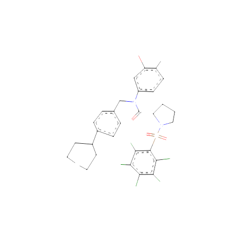 O=C(O)c1ccc(N(Cc2ccc(C3CCCCC3)cc2)C(=O)[C@@H]2CCCN2S(=O)(=O)c2c(F)c(F)c(F)c(F)c2F)cc1O